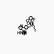 CCCCc1cn(-c2c(F)cccc2OC)c(=O)n1Cc1ccc(-c2ncccc2-c2nnn[nH]2)cc1